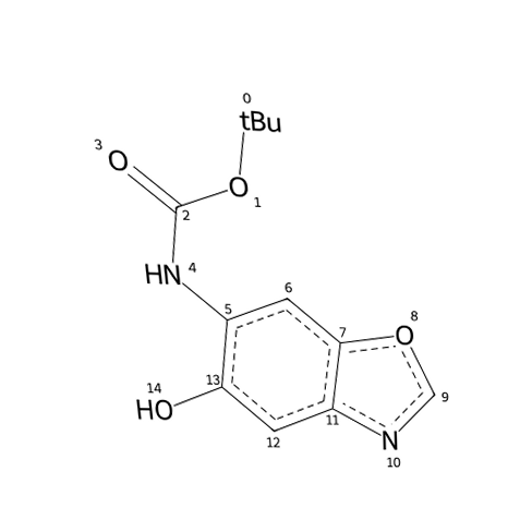 CC(C)(C)OC(=O)Nc1cc2ocnc2cc1O